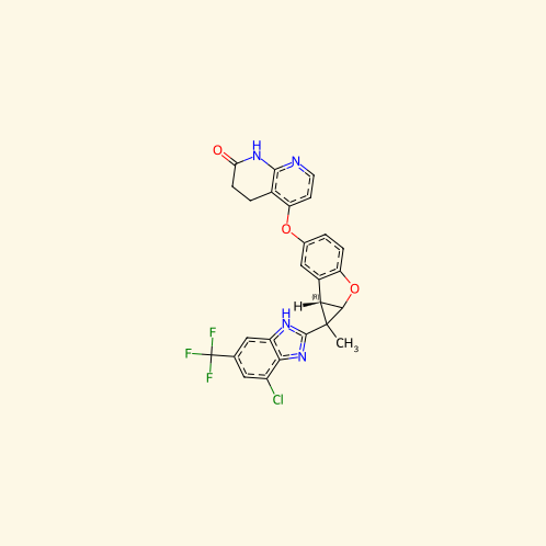 CC1(c2nc3c(Cl)cc(C(F)(F)F)cc3[nH]2)C2Oc3ccc(Oc4ccnc5c4CCC(=O)N5)cc3[C@H]21